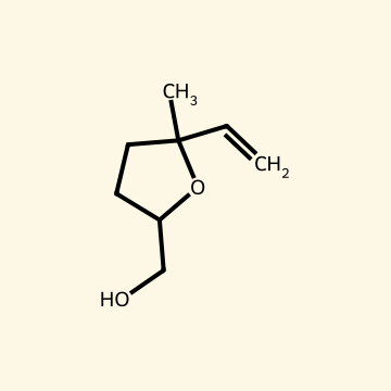 C=CC1(C)CCC(CO)O1